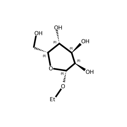 CCO[C@@H]1O[C@H](CO)[C@H](O)[C@@H](O)[C@H]1O